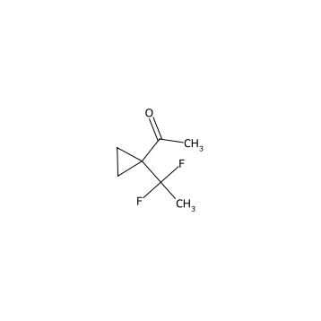 CC(=O)C1(C(C)(F)F)CC1